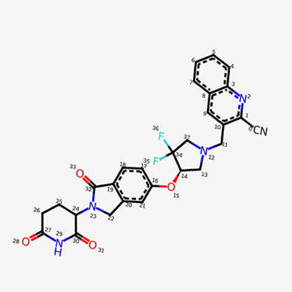 N#Cc1nc2ccccc2cc1CN1C[C@@H](Oc2ccc3c(c2)CN(C2CCC(=O)NC2=O)C3=O)C(F)(F)C1